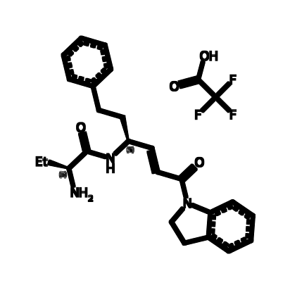 CC[C@H](N)C(=O)N[C@H](C=CC(=O)N1CCc2ccccc21)CCc1ccccc1.O=C(O)C(F)(F)F